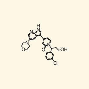 O=c1cc(-c2c[nH]c3ncc(N4CCOCC4)cc23)ccn1C(CCO)c1cccc(Cl)c1